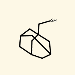 SCC12CC3CC(CC(C3)C1)C2